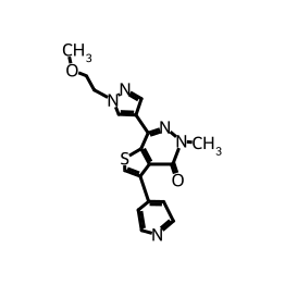 COCCn1cc(-c2nn(C)c(=O)c3c(-c4ccncc4)csc23)cn1